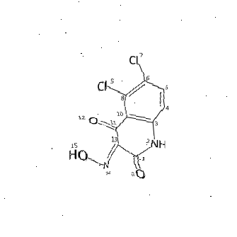 O=C1Nc2ccc(Cl)c(Cl)c2C(=O)C1=NO